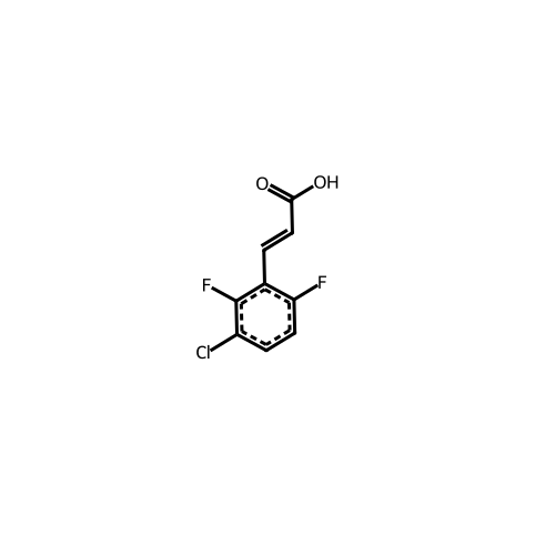 O=C(O)/C=C/c1c(F)ccc(Cl)c1F